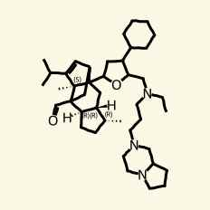 CCN(CCCN1CCN2CCCC2C1)CC1OC(C23C[C@@H]4[C@H](C)CC[C@H]4C4(C=O)CC2C=C(C(C)C)[C@@]34C)CC1C1CCCCC1